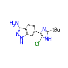 CC(C)(C)c1nc(-c2ccc3c(N)n[nH]c3c2)c(Cl)[nH]1